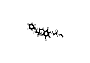 CCOC(=O)COc1c(C)c(C)c2c(c1C)CCC(C)(C(=O)Nc1ccccc1)O2